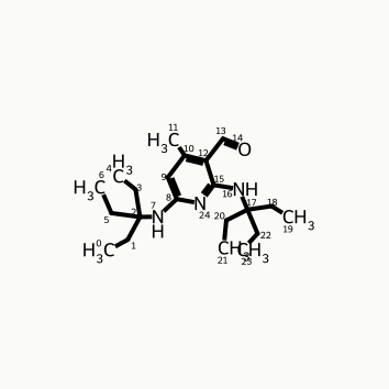 CCC(CC)(CC)Nc1cc(C)c(C=O)c(NC(CC)(CC)CC)n1